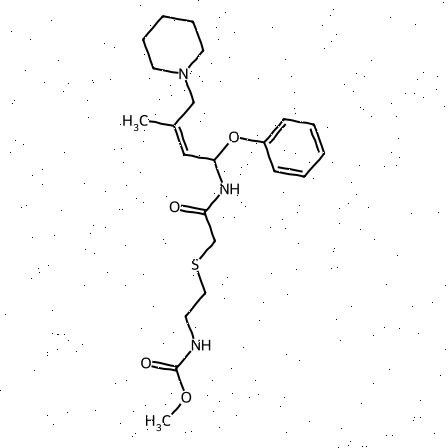 COC(=O)NCCSCC(=O)NC(/C=C(/C)CN1CCCCC1)Oc1ccccc1